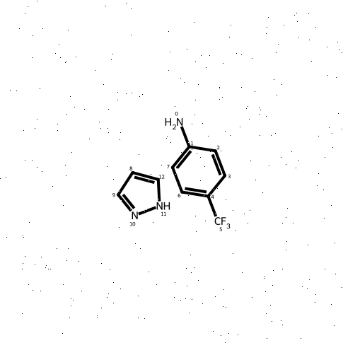 Nc1ccc(C(F)(F)F)cc1.c1cn[nH]c1